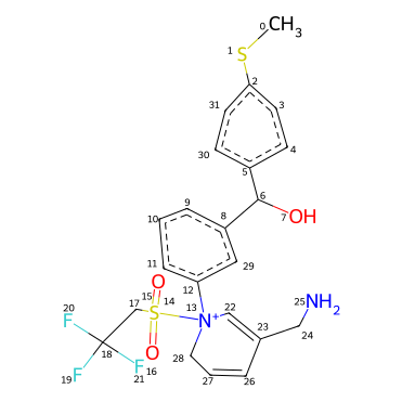 CSc1ccc(C(O)c2cccc([N+]3(S(=O)(=O)CC(F)(F)F)C=C(CN)C=CC3)c2)cc1